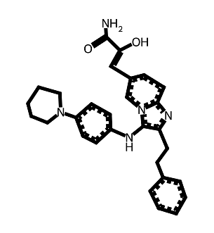 NC(=O)/C(O)=C/c1ccc2nc(CCc3ccccc3)c(Nc3ccc(N4CCCCC4)cc3)n2c1